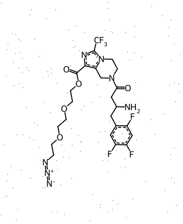 [N-]=[N+]=NCCOCCOCCOC(=O)c1nc(C(F)(F)F)n2c1CN(C(=O)CC(N)Cc1cc(F)c(F)cc1F)CC2